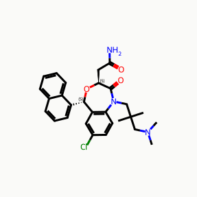 CN(C)CC(C)(C)CN1C(=O)[C@H](CC(N)=O)O[C@@H](c2cccc3ccccc23)c2cc(Cl)ccc21